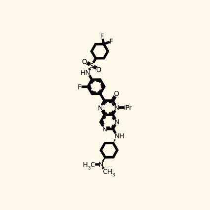 CC(C)n1c(=O)c(-c2ccc(NS(=O)(=O)C3CCC(F)(F)CC3)c(F)c2)nc2cnc(N[C@H]3CC[C@H](N(C)C)CC3)nc21